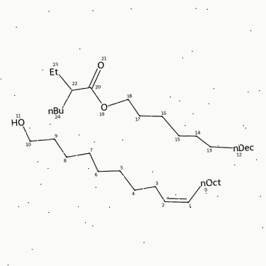 CCCCCCCC/C=C\CCCCCCCCO.CCCCCCCCCCCCCCCCOC(=O)C(CC)CCCC